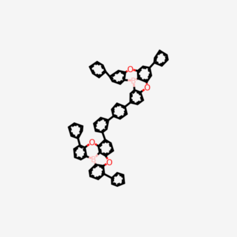 c1ccc(-c2ccc3c(c2)Oc2cc(-c4ccccc4)cc4c2B3c2cc(-c3ccc(-c5cccc(-c6ccc7c8c6Oc6c(cccc6-c6ccccc6)B8c6cccc(-c8ccccc8)c6O7)c5)cc3)ccc2O4)cc1